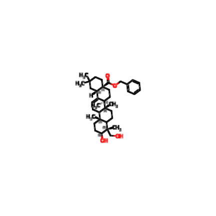 CC1(C)CC[C@]2(C(=O)OCc3ccccc3)CC[C@]3(C)C(=CCC4[C@@]5(C)CC[C@H](O)[C@@](C)(CO)C5CC[C@]43C)[C@@H]2C1